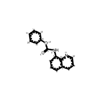 O=C(Nc1cccc2cccnc12)Oc1ccccc1